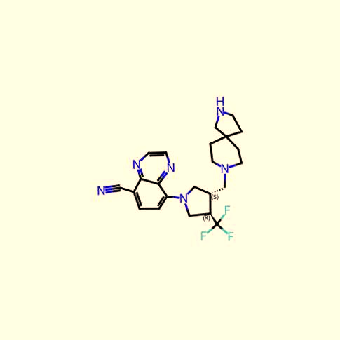 N#Cc1ccc(N2C[C@H](CN3CCC4(CCNC4)CC3)[C@@H](C(F)(F)F)C2)c2nccnc12